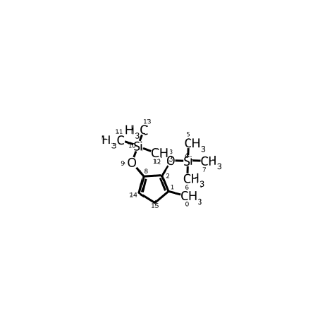 CC1=C(O[Si](C)(C)C)C(O[Si](C)(C)C)=CC1